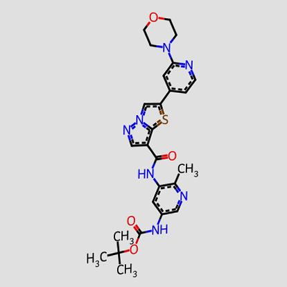 Cc1ncc(NC(=O)OC(C)(C)C)cc1NC(=O)c1cnn2cc(-c3ccnc(N4CCOCC4)c3)sc12